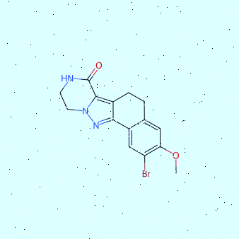 COc1cc2c(cc1Br)-c1nn3c(c1CC2)C(=O)NCC3